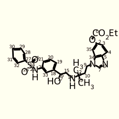 CCOC(=O)Oc1ccc2ncn(CCC(C)(C)NCC(O)c3cccc(NS(=O)(=O)c4ccccc4)c3)c2c1